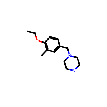 CCOc1ccc(CN2CCNCC2)cc1C